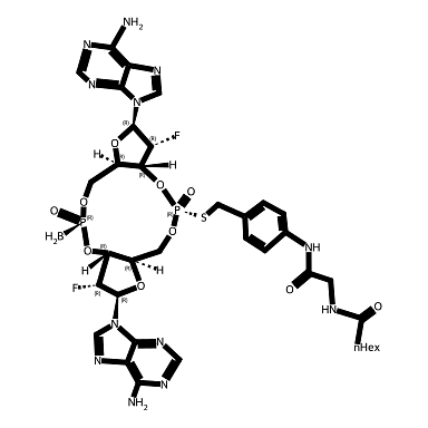 B[P@@]1(=O)OC[C@H]2O[C@@H](n3cnc4c(N)ncnc43)[C@H](F)[C@@H]2O[P@](=O)(SCc2ccc(NC(=O)CNC(=O)CCCCCC)cc2)OC[C@H]2O[C@@H](n3cnc4c(N)ncnc43)[C@H](F)[C@@H]2O1